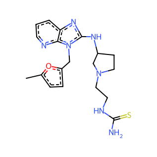 Cc1ccc(Cn2c(NC3CCN(CCNC(N)=S)C3)nc3cccnc32)o1